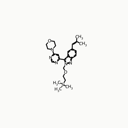 CC(C)=Cc1ccc2nn(COCC[Si](C)(C)C)c(-c3cc(N4CCOCC4)ncn3)c2c1